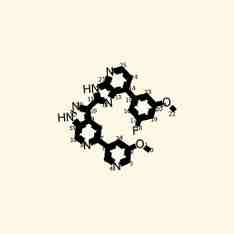 COc1cncc(-c2cc3c(-c4nc5c(-c6cc(F)cc(OC)c6)ccnc5[nH]4)n[nH]c3cn2)c1